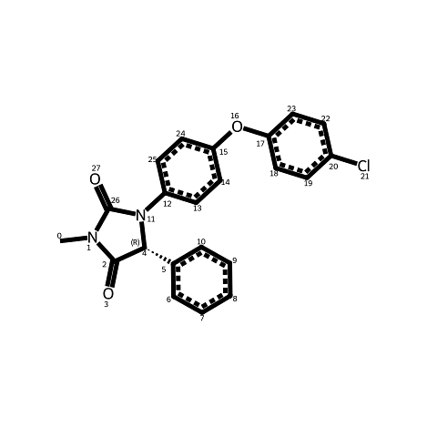 CN1C(=O)[C@@H](c2ccccc2)N(c2ccc(Oc3ccc(Cl)cc3)cc2)C1=O